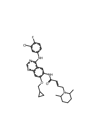 CC1CCCC(C)N1CC=CC(=O)Nc1cc2c(Nc3ccc(F)c(Cl)c3)ncnc2cc1OCC1CC1